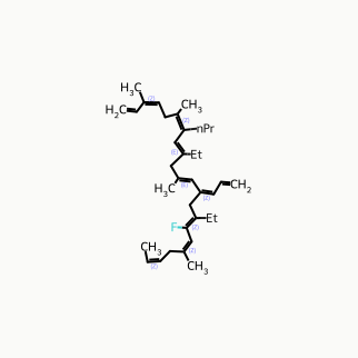 C=C/C=C(\C=C(/C)C/C(=C/C(CCC)=C(/C)C/C=C(/C)C=C)CC)C/C(CC)=C(F)/C=C(/C)C/C=C\C